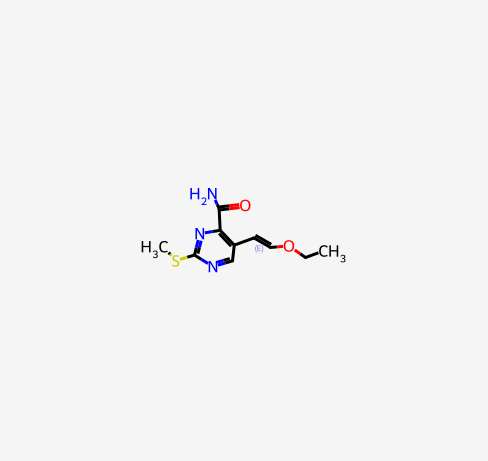 CCO/C=C/c1cnc(SC)nc1C(N)=O